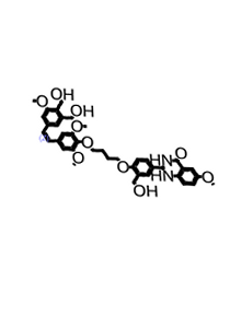 COc1ccc2c(c1)C(=O)NC(c1ccc(OCCCCOc3c(OC)cc(/C=C\c4cc(CO)c(CO)c(OC)c4)cc3OC)c(CO)c1)N2